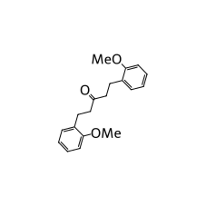 COc1ccccc1CCC(=O)CCc1ccccc1OC